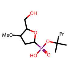 COC1CC(P(=O)(O)OC(C)(C)C(C)C)OC1CO